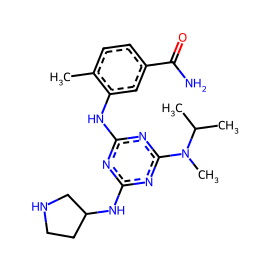 Cc1ccc(C(N)=O)cc1Nc1nc(NC2CCNC2)nc(N(C)C(C)C)n1